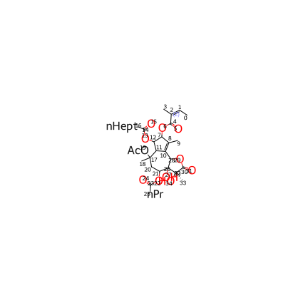 C/C=C(/C)C(=O)OC1C(C)=C2C(C1OC(=O)CCCCCCC)C(C)(OC(C)=O)CC(OC(=O)CCC)C1(O)C2OC(=O)[C@@]1(C)O